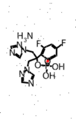 N.O=P(O)(O)OC(Cn1cncn1)(Cn1cncn1)c1ccc(F)cc1F